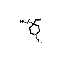 C=CC1(C(=O)O)CCN(P)CC1